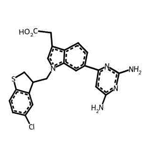 Nc1cc(-c2ccc3c(CC(=O)O)cn(CC4CSc5ccc(Cl)cc54)c3c2)nc(N)n1